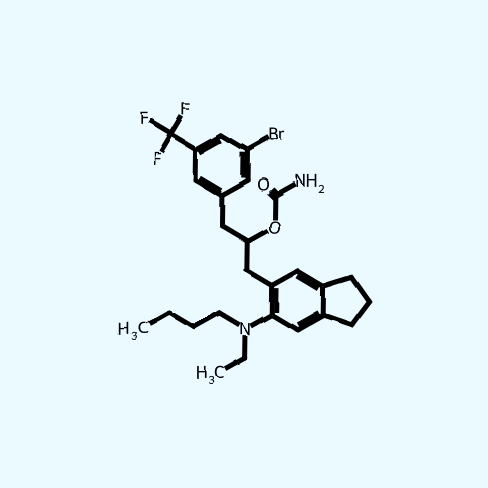 CCCCN(CC)c1cc2c(cc1CC(Cc1cc(Br)cc(C(F)(F)F)c1)OC(N)=O)CCC2